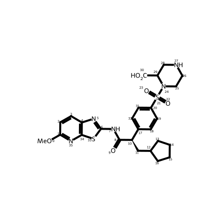 COc1ccc2nc(NC(=O)[C@H](CC3CCCC3)c3ccc(S(=O)(=O)N4CCNCC4C(=O)O)cc3)sc2n1